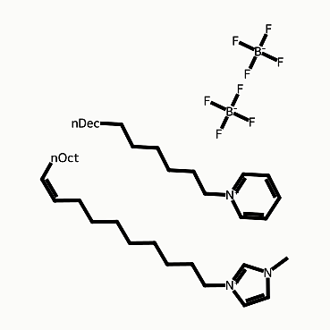 CCCCCCCC/C=C\CCCCCCCC[n+]1ccn(C)c1.CCCCCCCCCCCCCCCC[n+]1ccccc1.F[B-](F)(F)F.F[B-](F)(F)F